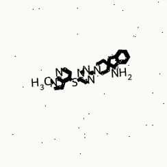 Cn1ccc2c(Sc3cnc(N4CCC5(CC4)Cc4ccccc4[C@H]5N)nn3)ccnc21